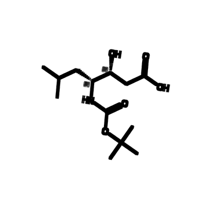 CC(C)C[C@@H](NC(=O)OC(C)(C)C)[C@H](O)CC(=O)O